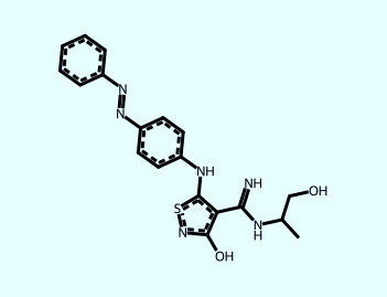 CC(CO)NC(=N)c1c(O)nsc1Nc1ccc(/N=N/c2ccccc2)cc1